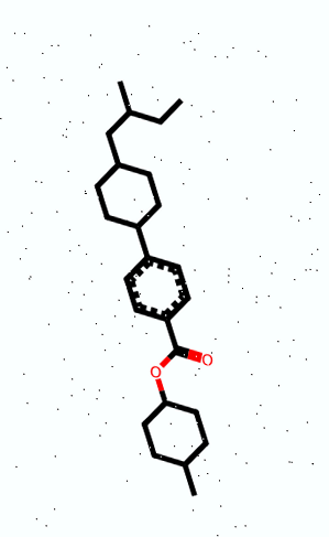 CCC(C)CC1CCC(c2ccc(C(=O)OC3CCC(C)CC3)cc2)CC1